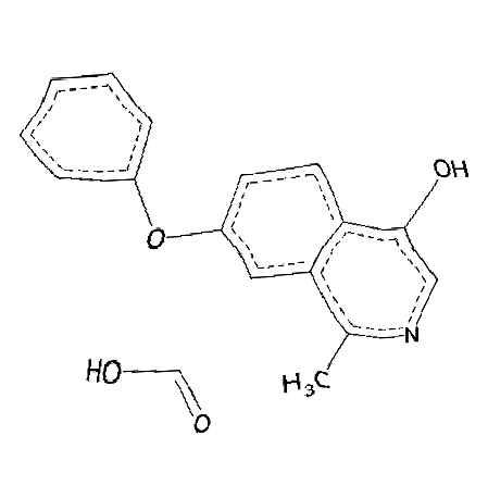 Cc1ncc(O)c2ccc(Oc3ccccc3)cc12.O=CO